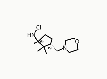 CC1(C)[C@@H](CN2CCOCC2)CC[C@@]1(C)NCl